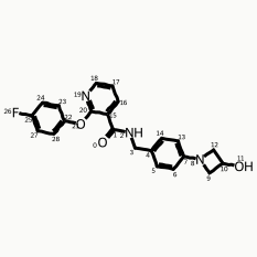 O=C(NCc1ccc(N2CC(O)C2)cc1)c1cccnc1Oc1ccc(F)cc1